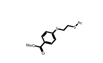 COC(=O)c1ccc(SCCSC(C)=O)cc1